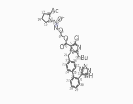 CCCCc1nc(Cl)c(C(=O)OCO/N=[N+](\[O-])N2CCC[C@H]2C(C)=O)n1Cc1ccc(-c2ccccc2-c2nnn[nH]2)cc1